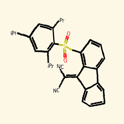 CC(C)c1cc(C(C)C)c(S(=O)(=O)c2cccc3c2C(=C(C#N)C#N)c2ccccc2-3)c(C(C)C)c1